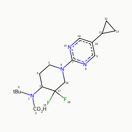 CC(C)(C)N(C(=O)O)C1CCN(c2ncc(C3CC3)cn2)CC1(F)F